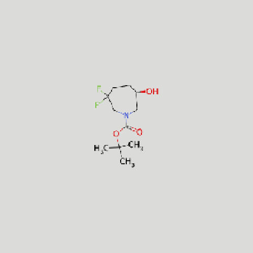 CC(C)(C)OC(=O)N1C[C@H](O)CCC(F)(F)C1